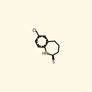 S=C1CCCc2cc(Cl)ccc2N1